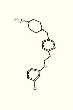 O=C(O)N1CCN(Cc2ccc(CCOc3cccc(Cl)c3)cc2)CC1